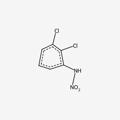 O=[N+]([O-])Nc1cccc(Cl)c1Cl